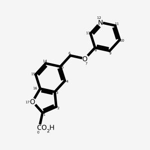 O=C(O)c1cc2cc(COc3cccnc3)ccc2o1